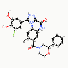 COc1cc(-c2nnc3c(=O)[nH]c4cc(C(=O)N5CCOC(c6ccccc6)C5)c(C)cc4n23)cc(F)c1O